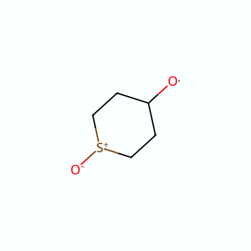 [O]C1CC[S+]([O-])CC1